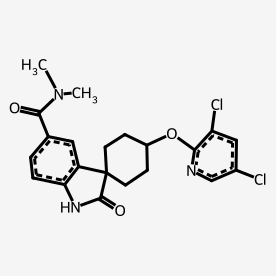 CN(C)C(=O)c1ccc2c(c1)C1(CCC(Oc3ncc(Cl)cc3Cl)CC1)C(=O)N2